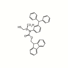 O=C(O)[C@H](CS)N(C(=O)OCC1c2ccccc2-c2ccccc21)c1cccc(C(c2ccccc2)c2ccccc2)c1